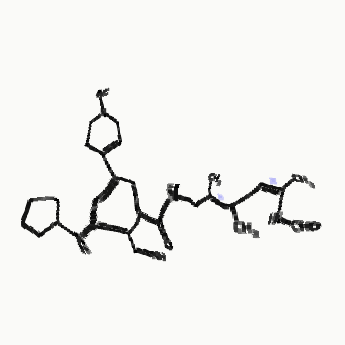 CC(=O)N1CC=C(c2cc(NC3CCCC3)c(C=N)c(C(=O)NC/C(C)=C(C)/C=C(/C)NC=O)c2)CC1